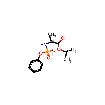 CC(C)OC(O)[C@H](C)NP(=O)(O)Oc1ccccc1